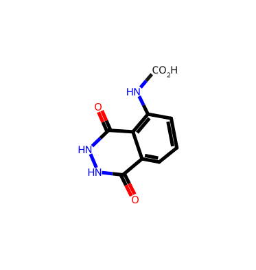 O=C(O)Nc1cccc2c(=O)[nH][nH]c(=O)c12